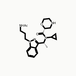 CC(=O)NCCCn1nc([C@@H](C)N(C(=O)[C@H]2CNCCO2)C2CC2)c2ccccc21